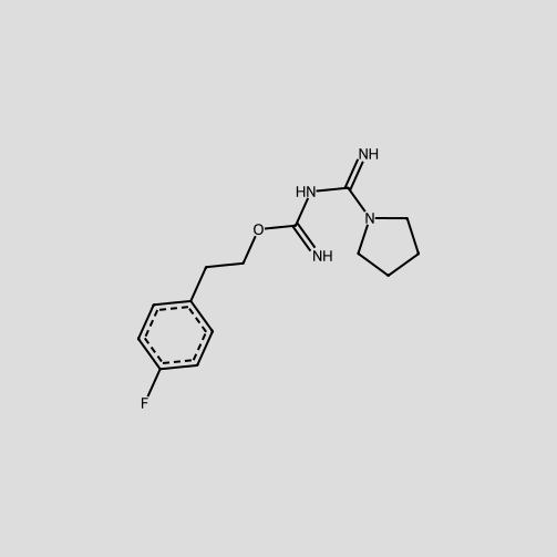 N=C(NC(=N)N1CCCC1)OCCc1ccc(F)cc1